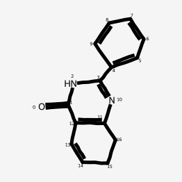 O=c1[nH]c(-c2ccccc2)nc2c1C=CCC2